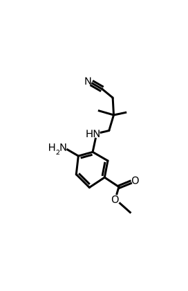 COC(=O)c1ccc(N)c(NCC(C)(C)CC#N)c1